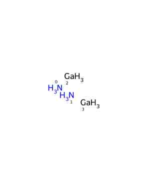 N.N.[GaH3].[GaH3]